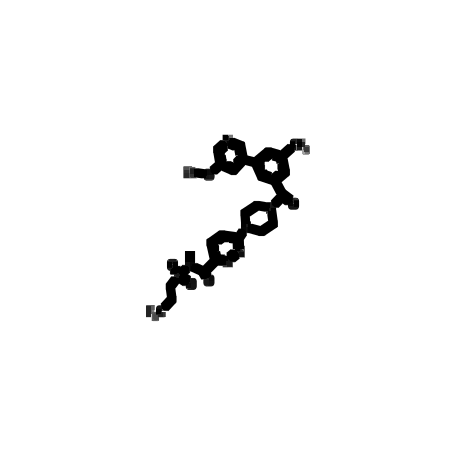 CCOc1cncc(-c2cc(C(=O)N3CCN(c4ccc(C(=O)NS(=O)(=O)CCC(F)(F)F)nn4)CC3)cc(C(F)(F)F)c2)c1